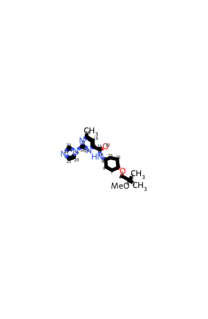 COC(C)(C)COC1CCC(NC(=O)c2cc(C)nc(-n3ccnc3)n2)CC1